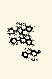 COc1ccccc1-c1ncc(Br)cc1[N+](=O)[O-].COc1ccccc1-c1ncc(N2CCOCC2)cc1Nc1c(C)c(-c2ccccn2)nc2cc(F)cc(F)c12